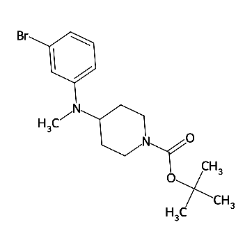 CN(c1cccc(Br)c1)C1CCN(C(=O)OC(C)(C)C)CC1